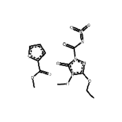 CCOc1nn(C(=O)N=S(=O)=O)c(=O)n1OC.COC(=O)c1cccs1